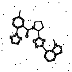 Cc1ccc(-n2nccn2)c(C(=O)N2CCCC2c2nc(-c3cccc4ccn(C)c34)no2)c1